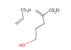 C=C(CCCO)C(=O)OCC.C=CC(=O)O